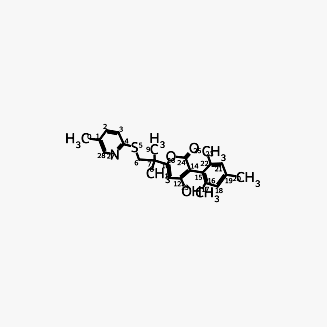 Cc1ccc(SCC(C)(C)c2cc(O)c(-c3c(C)cc(C)cc3C)c(=O)o2)nc1